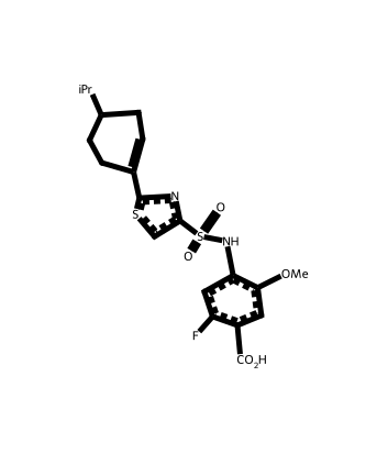 COc1cc(C(=O)O)c(F)cc1NS(=O)(=O)c1csc(C2=CCC(C(C)C)CC2)n1